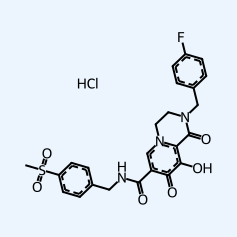 CS(=O)(=O)c1ccc(CNC(=O)c2cn3c(c(O)c2=O)C(=O)N(Cc2ccc(F)cc2)CC3)cc1.Cl